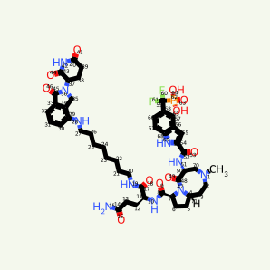 CN1CC[C@H]2CC[C@@H](C(=O)N[C@@H](CCC(N)=O)C(=O)NCCCCCCCCNc3cccc4c3CN(C3CCC(=O)NC3=O)C4=O)N2C(=O)[C@@H](NC(=O)c2cc3cc(C(F)(F)P(=O)(O)O)ccc3[nH]2)C1